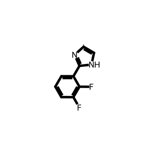 Fc1cccc(-c2n[c]c[nH]2)c1F